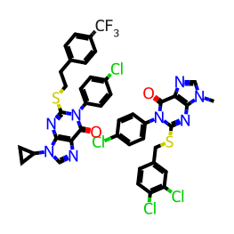 Cn1cnc2c(=O)n(-c3ccc(Cl)cc3)c(SCc3ccc(Cl)c(Cl)c3)nc21.O=c1c2ncn(C3CC3)c2nc(SCCc2ccc(C(F)(F)F)cc2)n1-c1ccc(Cl)cc1